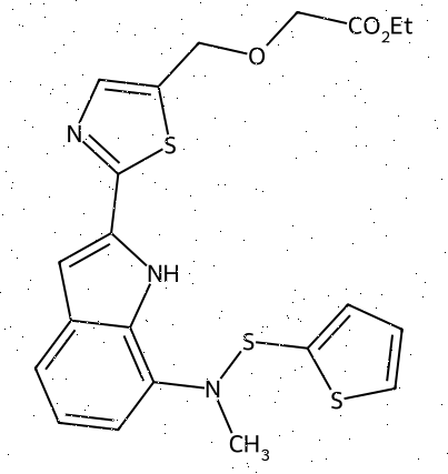 CCOC(=O)COCc1cnc(-c2cc3cccc(N(C)Sc4cccs4)c3[nH]2)s1